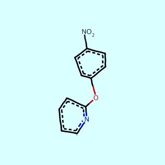 O=[N+]([O-])c1ccc(Oc2ccc[c]n2)cc1